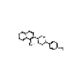 Oc1c(C2CCC(c3ccc(Cl)cc3)CC2)ccc2ccccc12